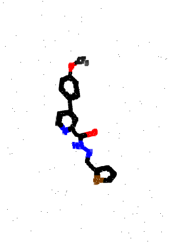 O=C(NN=Cc1cccs1)c1cc(-c2ccc(OC(F)(F)F)cc2)ccn1